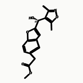 COC(=O)Cc1ccc2oc([C@H](O)c3c(C)noc3C)cc2c1